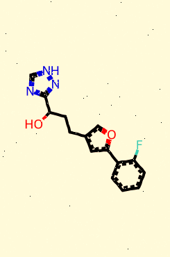 OC(CCc1coc(-c2ccccc2F)c1)c1nc[nH]n1